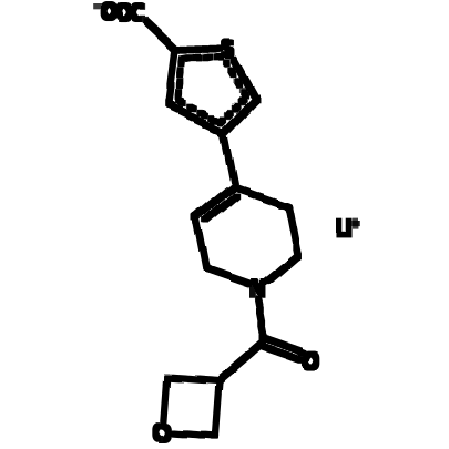 O=C([O-])c1cc(C2=CCN(C(=O)C3COC3)CC2)cs1.[Li+]